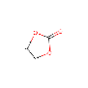 O=C1O[CH]CO1